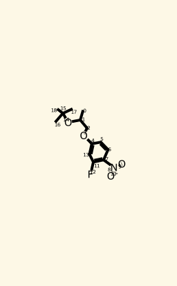 CC(COc1ccc([N+](=O)[O-])c(F)c1)OC(C)(C)C